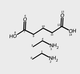 CCN.CCN.O=C(O)CCCC(=O)O